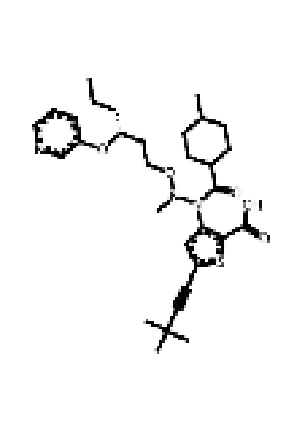 CCC[C@H](CCON(C)N(C(=O)C1CCC(C)CC1)c1cc(C#CC(C)(C)C)sc1C(=O)O)Oc1cccnc1